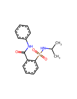 CC(C)NS(=O)(=O)c1ccccc1C(=O)Nc1ccccc1